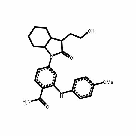 COc1ccc(Nc2cc(N3C(=O)C(CCO)C4CCCCC43)ccc2C(N)=O)cc1